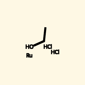 CCO.Cl.Cl.[Ru]